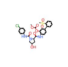 COC(=O)Oc1cc(-c2ccccc2S(C)(=O)=O)ccc1NC(=O)C1CC(O)CN1C(=O)Nc1ccc(Cl)cc1